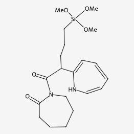 CO[Si](CCCC(C(=O)N1CCCCCC1=O)C1=CC=CC=CN1)(OC)OC